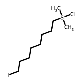 C[Si](C)(Cl)CCCCCCCCI